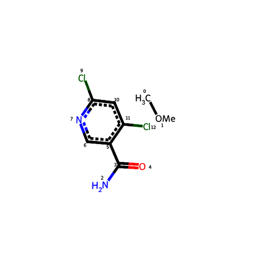 COC.NC(=O)c1cnc(Cl)cc1Cl